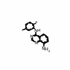 Cc1ccc(F)c(Nc2ncnc3c(N)cccc23)c1